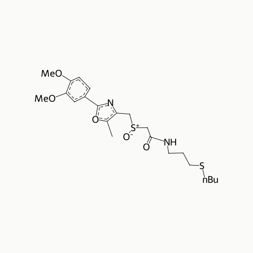 CCCCSCCCNC(=O)C[S+]([O-])Cc1nc(-c2ccc(OC)c(OC)c2)oc1C